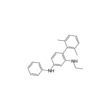 CCNc1cc(Nc2ccccc2)ccc1-c1c(C)cccc1C